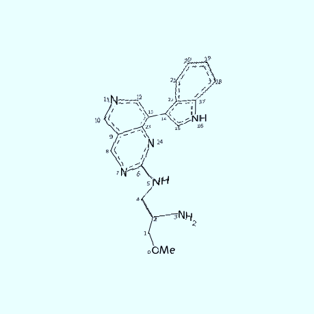 COCC(N)CNc1ncc2cncc(-c3c[nH]c4ccccc34)c2n1